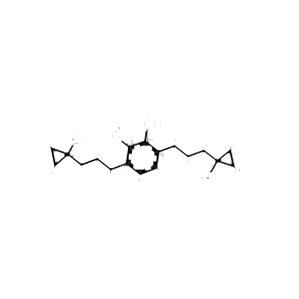 CCC1(CCCc2ccc(CCCC3(I)CC3)c(O)c2O)CC1